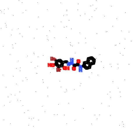 O=C(N/N=C/c1cc(Br)c(O)c(Br)c1O)C(=O)Nc1ccc2ccccc2c1